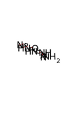 Cc1cc(Nc2ccc(NC(=O)c3ccc(Nc4cccc5cc(N(C)C)ccc45)cc3)cc2)nc(N)n1